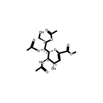 COC(=O)C1=C[C@H](O)[C@@H](NC(C)=O)[C@H]([C@H](OC(C)=O)[C@@H](CO)OC(C)=O)O1